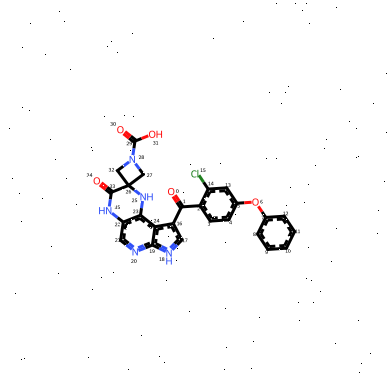 O=C(c1ccc(Oc2ccccc2)cc1Cl)c1c[nH]c2ncc3c(c12)NC1(CN(C(=O)O)C1)C(=O)N3